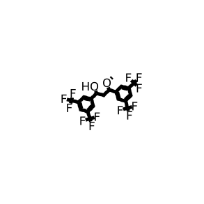 COC(CC(O)c1cc(C(F)(F)F)cc(C(F)(F)F)c1)c1cc(C(F)(F)F)cc(C(F)(F)F)c1